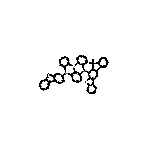 CC1(C)c2ccccc2-c2cc3c(oc4ccccc43)c(N3c4ccccc4B4c5ccccc5N(c5ccc6c(c5)oc5ccccc56)c5cccc3c54)c21